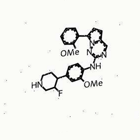 COc1cc(C2CCNCC2F)ccc1Nc1ncc2ccc(-c3ccccc3OC)n2n1